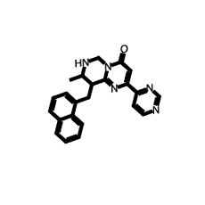 CC1NCn2c(nc(-c3ccncn3)cc2=O)C1Cc1cccc2ccccc12